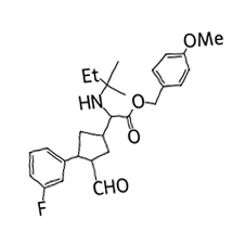 CCC(C)(C)NC(C(=O)OCc1ccc(OC)cc1)C1CC(C=O)C(c2cccc(F)c2)C1